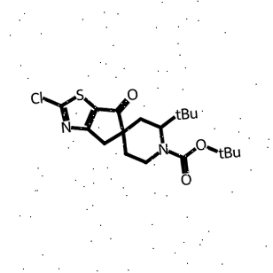 CC(C)(C)OC(=O)N1CCC2(Cc3nc(Cl)sc3C2=O)CC1C(C)(C)C